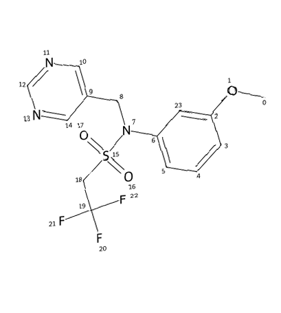 COc1cccc(N(Cc2cncnc2)S(=O)(=O)CC(F)(F)F)c1